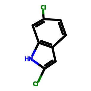 Clc1ccc2cc(Cl)[nH]c2c1